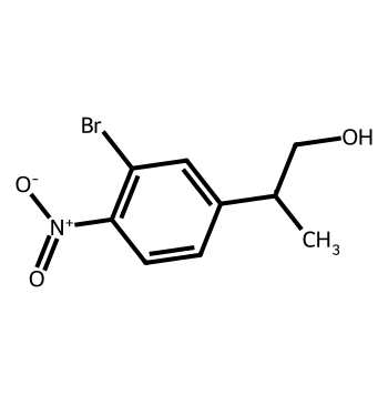 C[C](CO)c1ccc([N+](=O)[O-])c(Br)c1